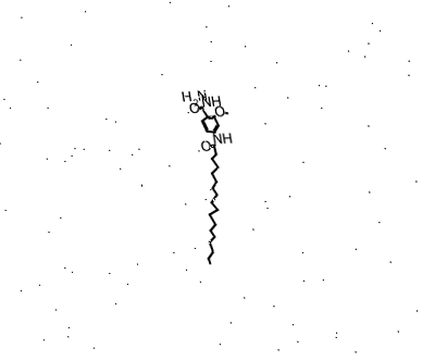 CCCCCCCCCCCCCCCCCC(=O)Nc1ccc(C(=O)NN)c(OC)c1